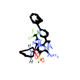 CS(=O)(=O)c1c([C@H]2C[C@H]3CC[C@@H](C2)N3C(=O)c2nc(C(F)(F)F)n[nH]2)nc2c(-c3ccc(-c4ccccc4)nc3)cnn2c1N